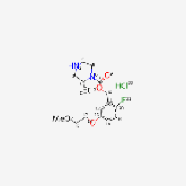 CCC1CNCCN1C(=O)OCc1cc(OCCOC)ccc1F.Cl